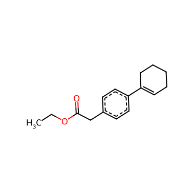 CCOC(=O)Cc1ccc(C2=CCCCC2)cc1